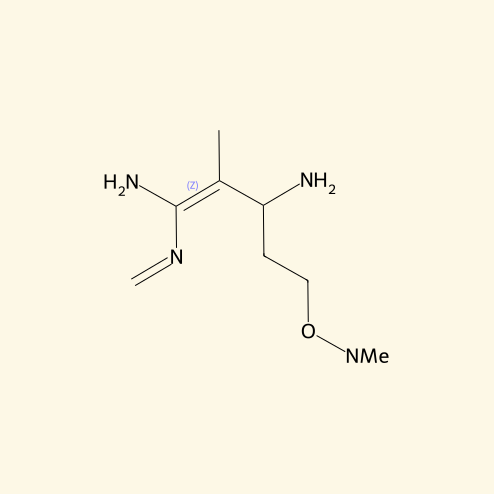 C=N/C(N)=C(/C)C(N)CCONC